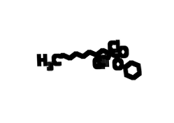 CCCCCCC(Cl)CC(Cl)(Cl)C(=O)OC1CCCCC1